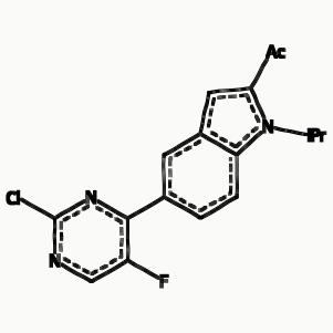 CC(=O)c1cc2cc(-c3nc(Cl)ncc3F)ccc2n1C(C)C